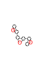 c1ccc2c(c1)oc1cc(-c3ccc4c(c3)-c3ccc(-c5cccc6oc7ccccc7c56)cc3COC4)ccc12